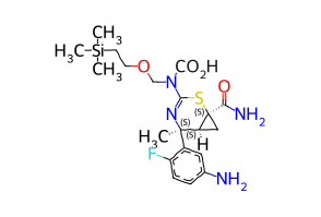 C[C@]1(c2cc(N)ccc2F)N=C(N(COCC[Si](C)(C)C)C(=O)O)S[C@@]2(C(N)=O)C[C@H]21